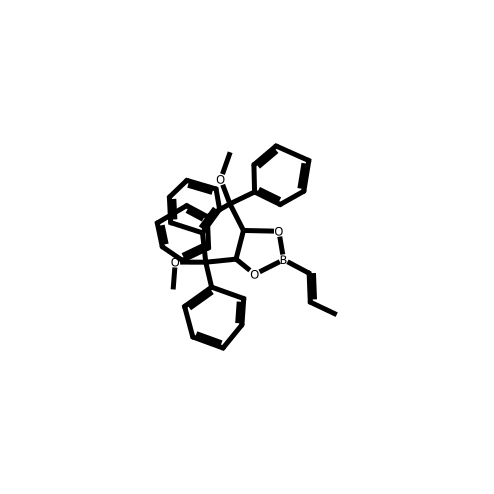 CC=CB1OC(C(OC)(c2ccccc2)c2ccccc2)C(C(OC)(c2ccccc2)c2ccccc2)O1